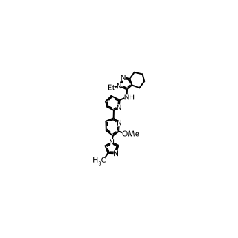 CCn1nc2c(c1Nc1cccc(-c3ccc(-n4cnc(C)c4)c(OC)n3)n1)CCCC2